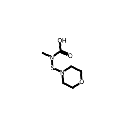 CN(SN1CCOCC1)C(=O)O